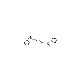 CN(CCCCCCCN(C)Cc1ccccc1)Cc1ccccc1